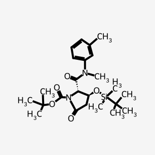 Cc1cccc(N(C)C(=O)[C@@H]2[C@@H](O[Si](C)(C)C(C)(C)C)CC(=O)N2C(=O)OC(C)(C)C)c1